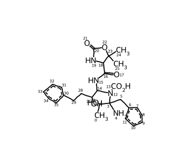 CC(O)C(N)(Cc1ccccc1)N(C(=O)O)C(NC(=O)C1NC(=O)OC1(C)C)C(O)CCc1ccccc1